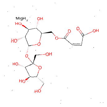 O=C(O)/C=C\C(=O)OC[C@H]1O[C@H](O[C@]2(CO)O[C@H](CO)[C@@H](O)[C@@H]2O)[C@H](O)[C@@H](O)[C@@H]1O.[MgH2]